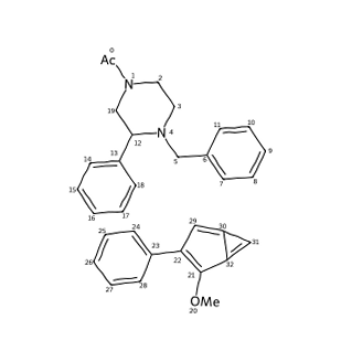 CC(=O)N1CCN(Cc2ccccc2)C(c2ccccc2)C1.COc1c(-c2ccccc2)cc2cc1-2